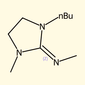 CCCCN1CCN(C)/C1=N/C